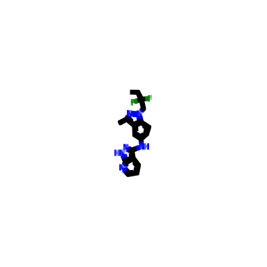 CCC(F)(F)Cn1nc(C)c2cc(Nc3n[nH]c4ncccc34)ccc21